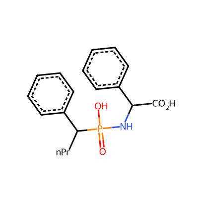 CCCC(c1ccccc1)P(=O)(O)NC(C(=O)O)c1ccccc1